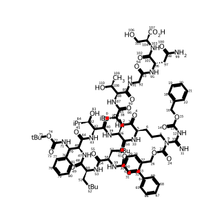 CC[C@H](C)C(NC(=O)[C@@H](CCCN(C(=N)NC(=O)OCc1ccccc1)C(=O)OCc1ccccc1)NC(=O)[C@H](CC(C)C)NC(=O)[C@@H](NC(=O)[C@@H](NC(=O)[C@H](CC(C)(C)C)NC(=O)[C@@H](CC(C)(C)C)NC(=O)OCc1ccccc1)[C@H](NC(=O)OC(C)(C)C)c1ccccc1)[C@H](O)C(C)C)C(=O)N[C@H](C(=O)NCC(=O)N[C@@H](CC(N)=O)C(=O)N[C@@H](CO)C(=O)O)[C@H](C)O